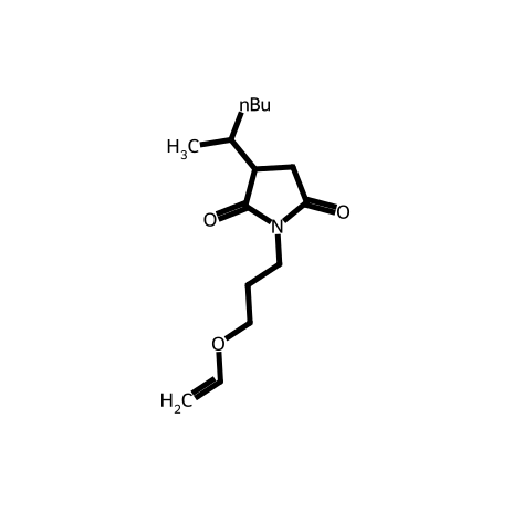 C=COCCCN1C(=O)CC(C(C)CCCC)C1=O